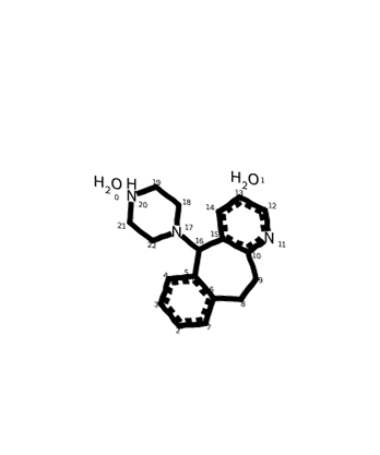 O.O.c1ccc2c(c1)CCc1ncccc1C2N1CCNCC1